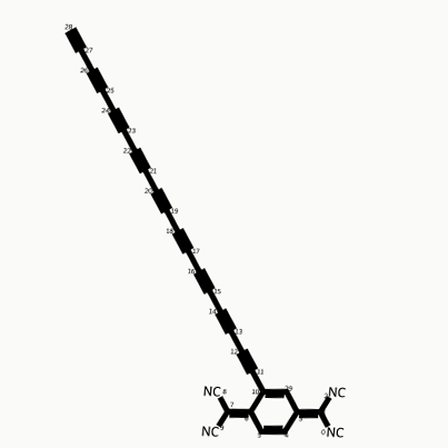 [C-]#[N+]C([N+]#[C-])=c1ccc(=C(C#N)C#N)c(C#CC#CC#CC#CC#CC#CC#CC#CC#C)c1